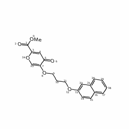 COC(=O)c1cc(=O)c(OCCCOc2ccc3ccccc3c2)co1